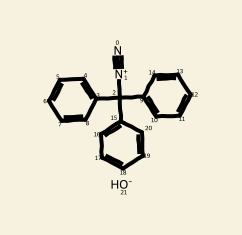 N#[N+]C(c1ccccc1)(c1ccccc1)c1ccccc1.[OH-]